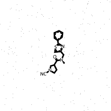 CN(Cc1csc(-c2ccccc2)n1)C(=O)C1CCN(C#N)C1